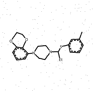 CCC(Sc1cccc(C)c1)N1CCN(c2cccc3c2OCCO3)CC1